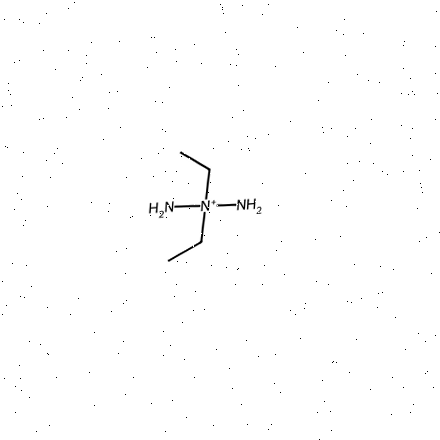 CC[N+](N)(N)CC